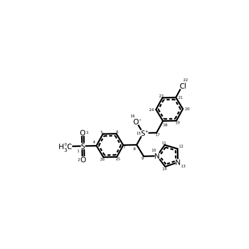 CS(=O)(=O)c1ccc(C(Cn2ccnc2)[S+]([O-])Cc2ccc(Cl)cc2)cc1